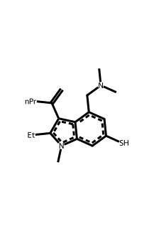 C=C(CCC)c1c(CC)n(C)c2cc(S)cc(CN(C)C)c12